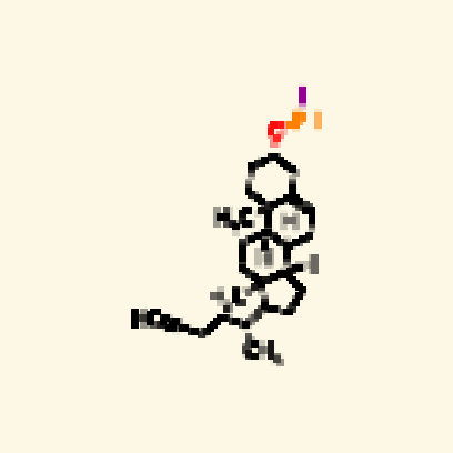 C#CCC[C@@H](C)C1CC[C@H]2[C@@H]3CC=C4C[C@@H](OPI)CC[C@]4(C)[C@H]3CC[C@]12C